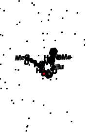 CCC(C)[C@@H]1NC(=O)[C@H](Cc2cn(OC)c3ccccc23)NC(=O)[C@H](CCCCCCC(=O)OC)NC(=O)[C@H]2CCCCN2C1=O